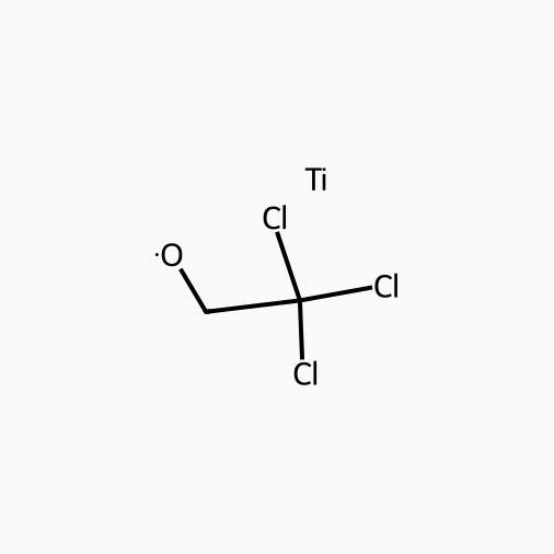 [O]CC(Cl)(Cl)Cl.[Ti]